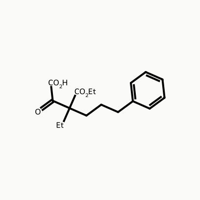 CCOC(=O)C(CC)(CCCc1ccccc1)C(=O)C(=O)O